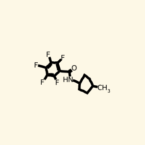 CC1CCC(NC(=O)c2c(F)c(F)c(F)c(F)c2F)CC1